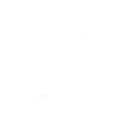 CCCCCCCCCCc1ccc2cccc3c2c1C=CC3OC(=O)C(C)C